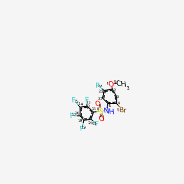 COc1cc(Br)c(NS(=O)(=O)c2c(F)c(F)c(F)c(F)c2F)cc1F